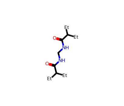 CCC(CC)C(=O)NCNC(=O)C(CC)CC